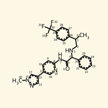 CC(CNC(C(=O)Nc1ccc(-c2cnn(C)c2)cn1)c1ccccc1)c1ccc(C(F)(F)F)cc1